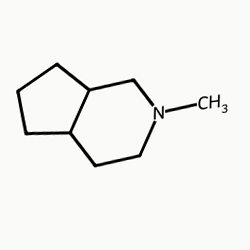 CN1CCC2CCCC2C1